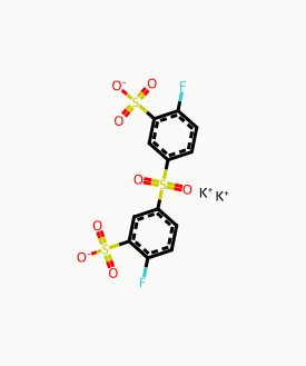 O=S(=O)([O-])c1cc(S(=O)(=O)c2ccc(F)c(S(=O)(=O)[O-])c2)ccc1F.[K+].[K+]